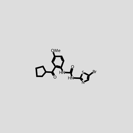 COc1ccc(NC(=O)Nc2ncc(Br)s2)c(C(=O)C2CCCC2)c1